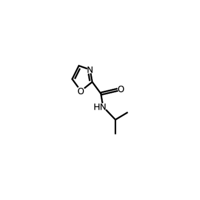 CC(C)NC(=O)c1ncco1